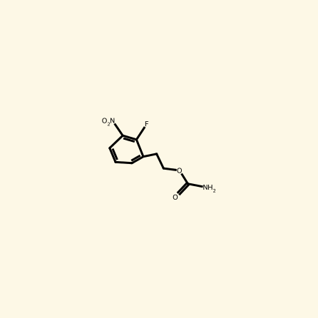 NC(=O)OCCc1cccc([N+](=O)[O-])c1F